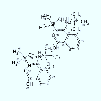 C[Si](C)(C)N=C(N[Si](C)(C)C)c1ccccc1C(=O)O.C[Si](C)(C)N=C(N[Si](C)(C)C)c1ccccc1C(=O)O.[Zr]